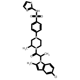 Cc1cc2cc(Cl)ccc2n1C(C)C(=O)N1CCN(c2ccc(S(=O)(=O)Nc3nccs3)cc2)CC1C